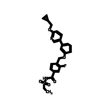 CCS(=O)(=O)NC(=O)c1ccc(COc2cccc(-c3ccc(OCC4CC4)nc3)c2)c(F)c1